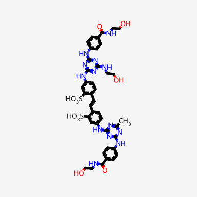 Cc1nc(Nc2ccc(C(=O)NCCO)cc2)nc(Nc2ccc(C=Cc3ccc(Nc4nc(NCCO)nc(Nc5ccc(C(=O)NCCO)cc5)n4)cc3S(=O)(=O)O)c(S(=O)(=O)O)c2)n1